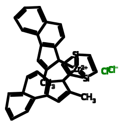 CC1=Cc2c(ccc3ccccc23)[CH]1[Zr+2]1([CH]2C(C)=Cc3c2ccc2ccccc32)=[Si]2C=C[Si]=1C=C2.[Cl-].[Cl-]